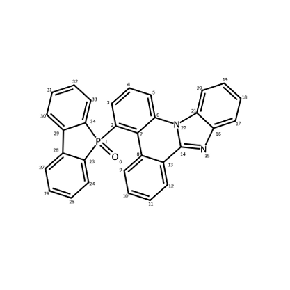 O=P1(c2cccc3c2c2ccccc2c2nc4ccccc4n32)c2ccccc2-c2ccccc21